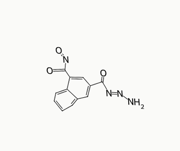 NN=NC(=O)c1cc(C(=O)N=O)c2ccccc2c1